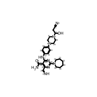 N#CCC(O)N1CCN(c2ccc(Nc3nc(N4CCCCCC4)nc(C=N)c3C(N)=O)cc2)CC1